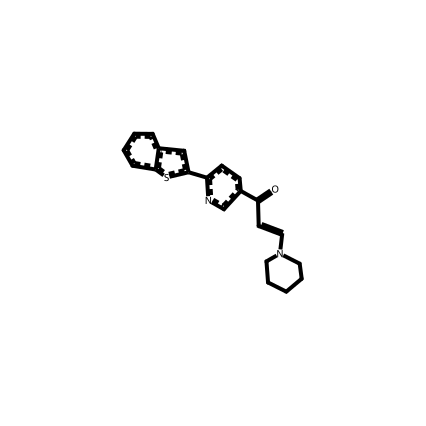 O=C(C=CN1CCCCC1)c1ccc(-c2cc3ccccc3s2)nc1